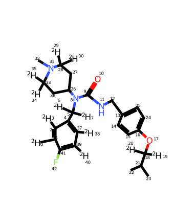 [2H]c1c([2H])c(C([2H])([2H])N(C(=O)NCc2ccc(OC([2H])([2H])C(C)C)cc2)C2CC([2H])([2H])N(C)C([2H])([2H])C2)c([2H])c([2H])c1F